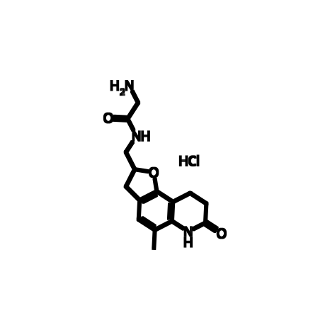 Cc1cc2c(c3c1NC(=O)CC3)OC(CNC(=O)CN)C2.Cl